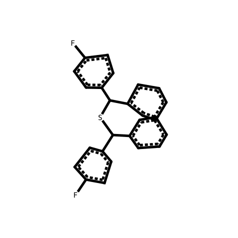 Fc1ccc(C(SC(c2ccccc2)c2ccc(F)cc2)c2ccccc2)cc1